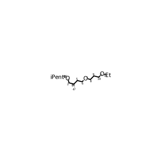 CCC[C@@H](C)OC[C@@H](C)CCOCCCOCC